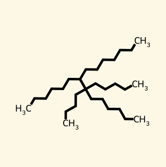 CCCCCCC[C](CCCCCC)C(CCCC)(CCCCC)CCCCCC